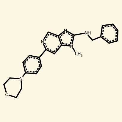 Cn1c(NCc2ccccc2)nc2cnc(-c3ccc(N4CCOCC4)cc3)cc21